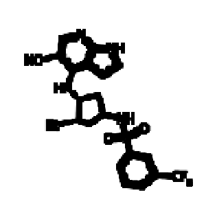 CC[C@@H]1CC(NS(=O)(=O)c2cccc(C(F)(F)F)c2)C[C@@H]1Nc1c(C#N)cnc2[nH]ccc12